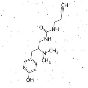 C#CCCNC(=O)NCC(Cc1ccc(O)cc1)N(C)C